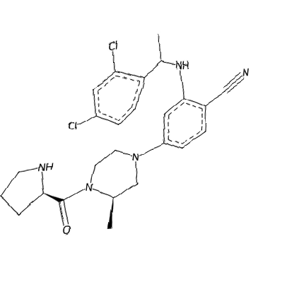 CC(Nc1cc(N2CCN(C(=O)[C@H]3CCCN3)[C@H](C)C2)ccc1C#N)c1ccc(Cl)cc1Cl